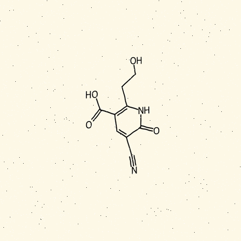 N#Cc1cc(C(=O)O)c(CCO)[nH]c1=O